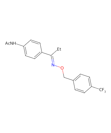 CC/C(=N\OCc1ccc(C(F)(F)F)cc1)c1ccc(NC(C)=O)cc1